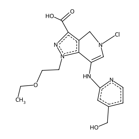 CCOCCn1nc(C(=O)O)c2c1C(Nc1cc(CO)ccn1)=CN(Cl)C2